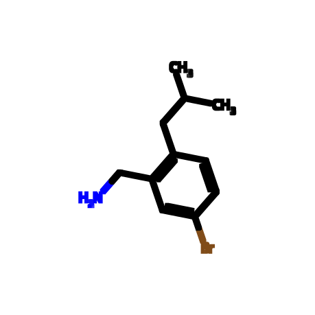 CC(C)Cc1ccc(Br)cc1CN